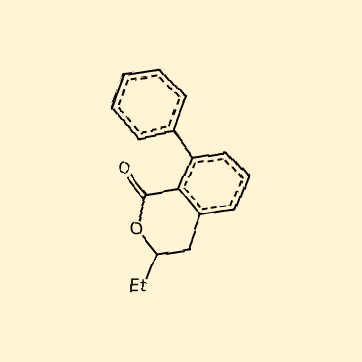 CCC1Cc2cccc(-c3ccccc3)c2C(=O)O1